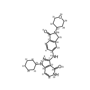 O=C1c2ccc(Nc3nn(C4CCCCC4)c4cc[nH]c(=O)c34)cc2CN1C1CCOCC1